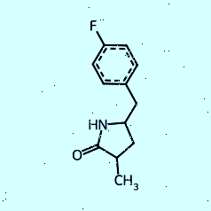 CC1CC(Cc2ccc(F)cc2)NC1=O